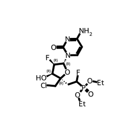 CCOP(=O)(OCC)C(F)C[C@@]1(CCl)O[C@@H](n2ccc(N)nc2=O)[C@H](F)[C@@H]1O